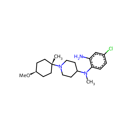 CO[C@H]1CC[C@](C)(N2CCC(N(C)c3ccc(Cl)cc3N)CC2)CC1